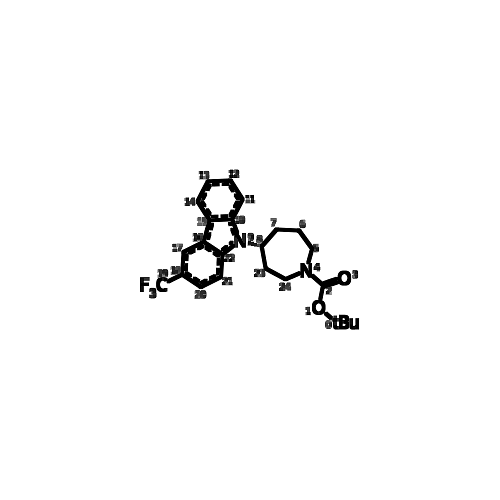 CC(C)(C)OC(=O)N1CCC[C@@H](n2c3ccccc3c3cc(C(F)(F)F)ccc32)CC1